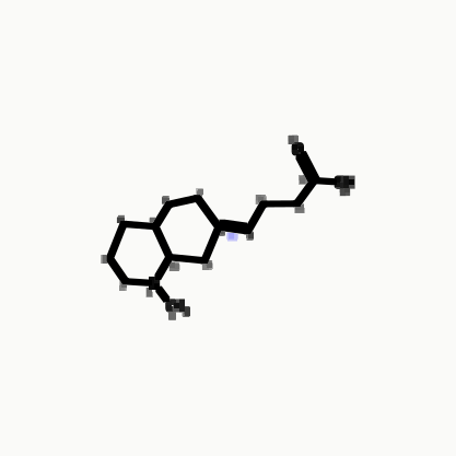 CN1CCCC2CC/C(=C\CCC(=O)O)CC21